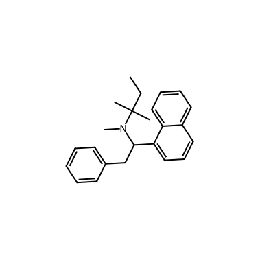 CCC(C)(C)N(C)C(Cc1ccccc1)c1cccc2ccccc12